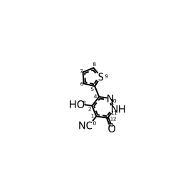 N#Cc1c(O)c(-c2cccs2)n[nH]c1=O